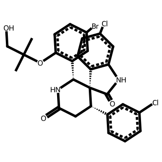 CC(C)(CO)Oc1ccc(Br)cc1[C@H]1NC(=O)C[C@@H](c2cccc(Cl)c2)[C@]12C(=O)Nc1cc(Cl)ccc12